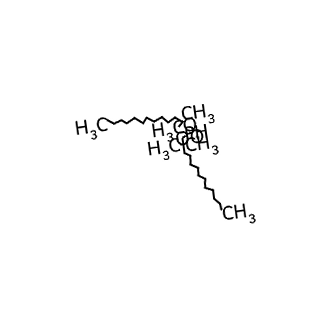 CCCCCCCCCCCCC(C)(C)O[PH](=O)OC(C)(C)CCCCCCCCCCCC